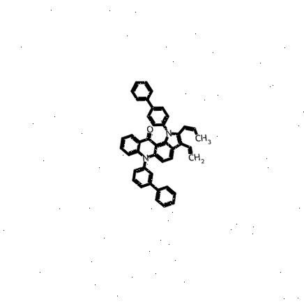 C=Cc1c(/C=C\C)n(-c2ccc(-c3ccccc3)cc2)c2c1ccc1c2c(=O)c2ccccc2n1-c1cccc(-c2ccccc2)c1